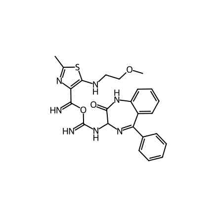 COCCNc1sc(C)nc1C(=N)OC(=N)NC1N=C(c2ccccc2)c2ccccc2NC1=O